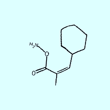 CC(=CC1CCCCC1)C(=O)ON